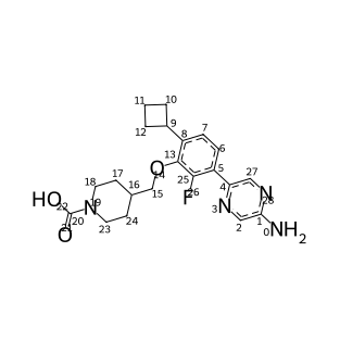 Nc1cnc(-c2ccc(C3CCC3)c(OCC3CCN(C(=O)O)CC3)c2F)cn1